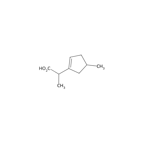 CC1CC=C(C(C)C(=O)O)C1